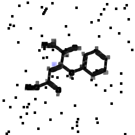 COC(=O)/C=C(\Oc1ccccc1)C(=O)OC